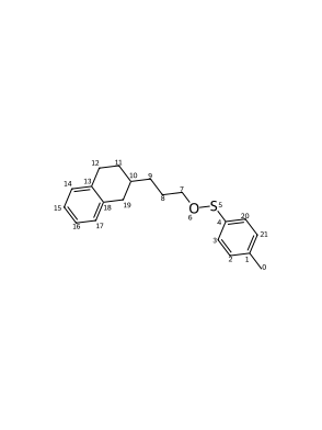 Cc1ccc(SOCCCC2CCc3ccccc3C2)cc1